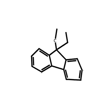 CCC1(CC)c2ccc[c]c2-c2cc[c]cc21